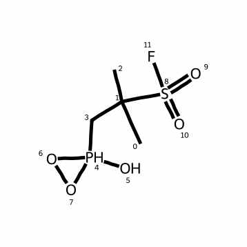 CC(C)(C[PH]1(O)OO1)S(=O)(=O)F